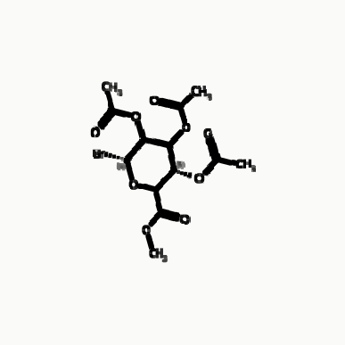 COC(=O)C1O[C@H](Br)C(OC(C)=O)C(OC(C)=O)[C@@H]1OC(C)=O